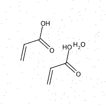 C=CC(=O)O.C=CC(=O)O.O